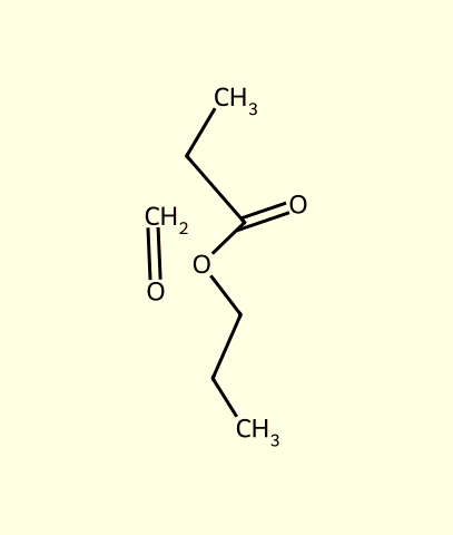 C=O.CCCOC(=O)CC